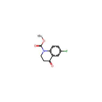 CC(C)(C)OC(=O)N1CCC(=O)c2cc(F)ccc21